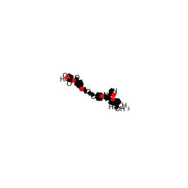 CC1(NO)CCc2cc(-c3cn(-c4ccc(OCCOCCOc5ccc6c(c5)CN(C5CCC(=O)NC5=O)C6=O)cc4)nc3-c3ccncc3)ccc21